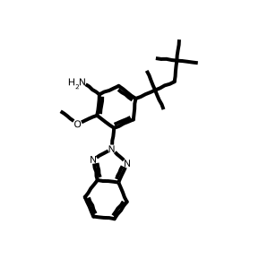 COc1c(N)cc(C(C)(C)CC(C)(C)C)cc1-n1nc2ccccc2n1